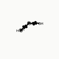 O=P(O)(O)OCCCc1ccc2c3cccc4c(CCCOP(=O)(O)OCCCc5ccc6c7cccc8c(CCCO)ccc(c9cccc5c96)c87)ccc(c5cccc1c25)c43